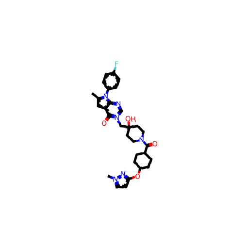 Cc1cc2c(=O)n(CC3(O)CCN(C(=O)C4CCC(Oc5ccn(C)n5)CC4)CC3)cnc2n1-c1ccc(F)cc1